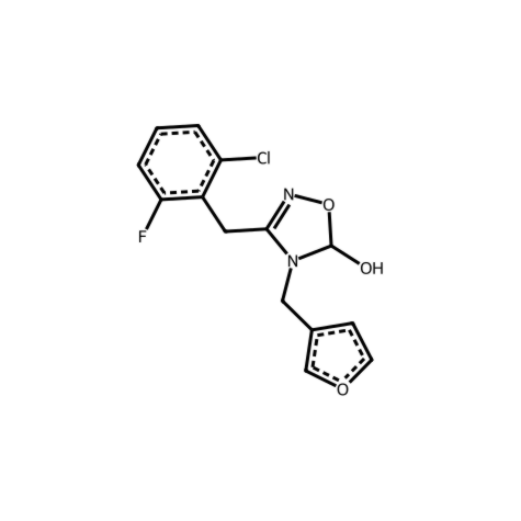 OC1ON=C(Cc2c(F)cccc2Cl)N1Cc1ccoc1